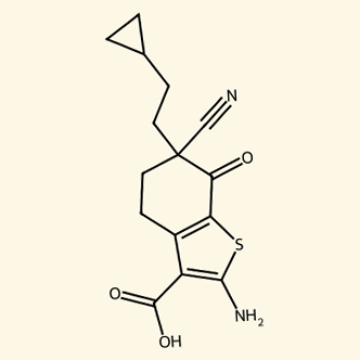 N#CC1(CCC2CC2)CCc2c(sc(N)c2C(=O)O)C1=O